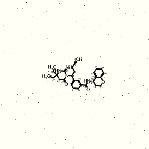 C#CCCC(c1cccc(C(=O)N[C@@H]2CCOc3ccccc32)c1)N1C(=N)NC(CC)(CC)CC1=O